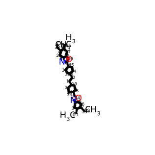 CCc1cc2nc(-c3ccc(C=Cc4ccc(-c5nc6cc(CC)c(CC)cc6o5)cc4)cc3)oc2cc1CC